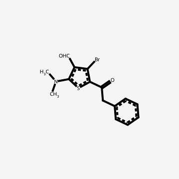 CN(C)c1sc(C(=O)Cc2ccccc2)c(Br)c1C=O